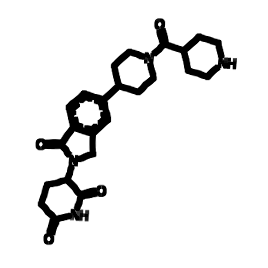 O=C1CCC(N2Cc3cc(C4CCN(C(=O)C5CCNCC5)CC4)ccc3C2=O)C(=O)N1